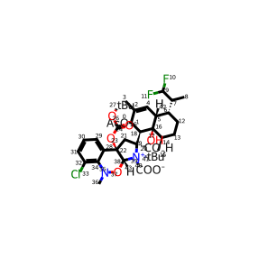 CC(=O)O[C@H]1C(C)=C[C@@H]2[C@H](C(C)C(F)F)CC[C@@H](C)[C@]2(O)[C@H]1[C@]1(C(=O)O)C[C@@]2(OC(=O)OC(C)(C)C)c3cccc(Cl)c3N(C)O[C@H]2[N+]1(C(=O)[O-])C(C)(C)C